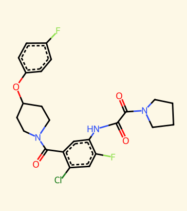 O=C(Nc1cc(C(=O)N2CCC(Oc3ccc(F)cc3)CC2)c(Cl)cc1F)C(=O)N1CCCC1